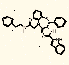 O=C(CN1C(=O)[C@@H](NC(=O)c2cc3ccccc3[nH]2)[C@H](c2ccccc2)Sc2ccccc21)NCCc1ccccc1